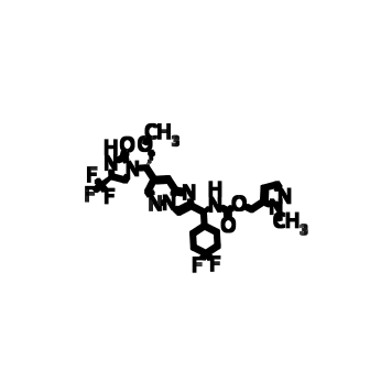 COC[C@H](c1cnn2cc([C@@H](NC(=O)OCc3ccnn3C)C3CCC(F)(F)CC3)nc2c1)N1C[C@@H](C(F)(F)F)NC1=O